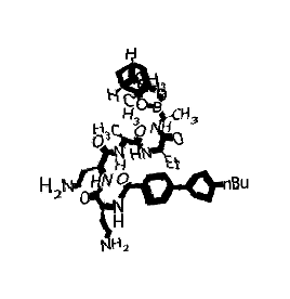 CCCCc1ccc(-c2ccc(C(=O)N[C@@H](CCN)C(=O)N[C@@H](CCN)C(=O)N[C@@H](C)C(=O)N[C@@H](CC)C(=O)N[C@@H](C)B3OC4C[C@@H]5C[C@@H](C5(C)C)[C@]4(C)O3)cc2)cc1